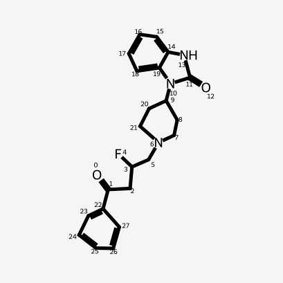 O=C(CC(F)CN1CCC(n2c(=O)[nH]c3ccccc32)CC1)c1ccccc1